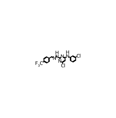 FC(F)(F)c1ccc(/C=N/Nc2nc(Cl)cc(Nc3cccc(Cl)c3)n2)cc1